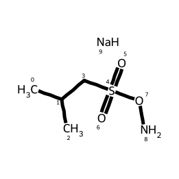 CC(C)CS(=O)(=O)ON.[NaH]